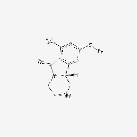 CCSc1cc2c(c(C(F)(F)F)c1)C(=O)N1CCNC[C@@H]21